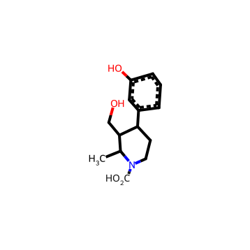 CC1C(CO)C(c2cccc(O)c2)CCN1C(=O)O